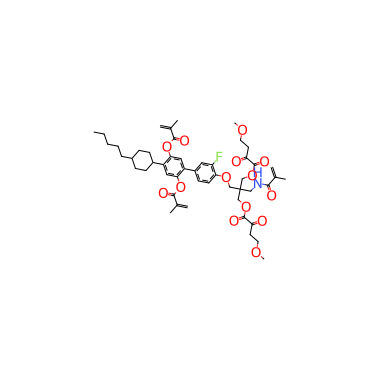 C=C(C)C(=O)NCC(COC(=O)C(=O)CCOC)(COC(=O)C(=O)CCOC)COc1ccc(-c2cc(OC(=O)C(=C)C)c(C3CCC(CCCCC)CC3)cc2OC(=O)C(=C)C)cc1F